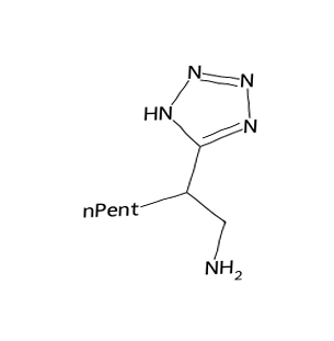 CCCCCC(CN)c1nnn[nH]1